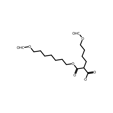 [O]C(=O)C(CCCCOC=O)C(=O)OCCCCCCCOC=O